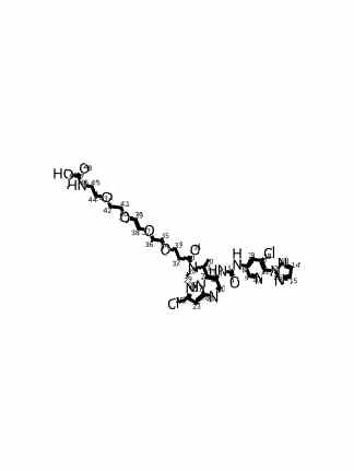 CC(c1c(NC(=O)Nc2cnc(-n3nccn3)c(Cl)c2)cnc2cc(Cl)nn12)N(C)C(=O)CCOCCOCCOCCOCCNC(=O)O